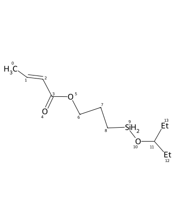 CC=CC(=O)OCCC[SiH2]OC(CC)CC